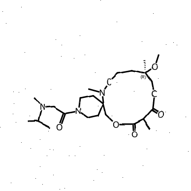 CO[C@]1(C)CCCN(C)C2(CCN(C(=O)CN(C)C(C)C)CC2)COC(=O)C(C)C(=O)CC1